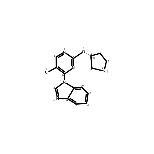 Clc1cnc(O[C@@H]2CCNC2)nc1-n1cnc2ccccc21